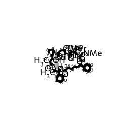 CC[C@H](C)[C@@H]([C@@H](CC(=O)N1CCC[C@H]1[C@H](O)[C@@H](C)C(=O)N[C@H](C)C(OC(=O)CCCCC(=O)c1ccccc1)c1ccccc1)OC)N(C)C(=O)[C@@H](NC(=O)[C@@H](NC)C(C)C)C(C)C